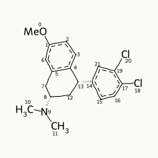 COc1ccc2c(c1)C[C@@H](N(C)C)C[C@H]2c1ccc(Cl)c(Cl)c1